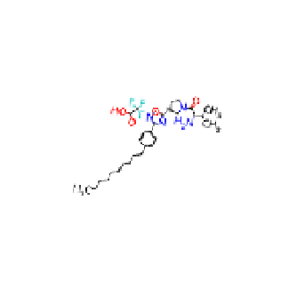 CCCCCCCCCCc1ccc(-c2noc([C@@H]3CCN(C(=O)C(N)C(C)C)C3)n2)cc1.O=C(O)C(F)(F)F